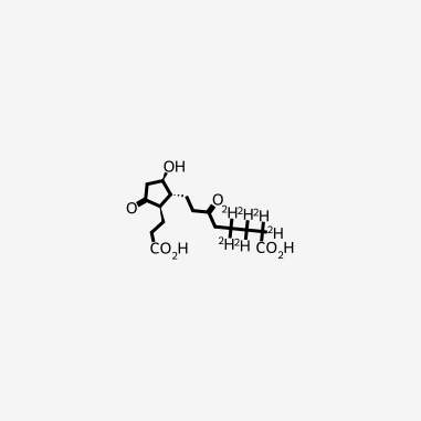 [2H]C([2H])(CC(=O)CC[C@H]1[C@H](O)CC(=O)[C@@H]1CCC(=O)O)C([2H])([2H])C([2H])([2H])C(=O)O